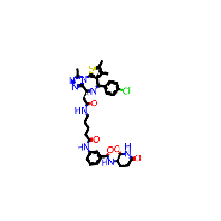 Cc1sc2c(c1C)C(c1ccc(Cl)cc1)=N[C@@H](CC(=O)NCCCCC(=O)Nc1cccc(C(=O)NC3CCC(=O)NC3=O)c1)c1nnc(C)n1-2